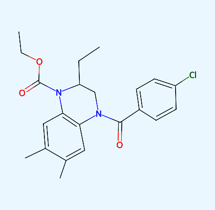 CCOC(=O)N1c2cc(C)c(C)cc2N(C(=O)c2ccc(Cl)cc2)CC1CC